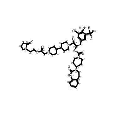 Nc1c(Cl)cc(C[C@@H](OC(=O)N2CCC(N3CCc4ccccc4NC3=O)CC2)C(=O)N2CCC(C3CCN(CC(=O)OCCN4CCCC4=O)CC3)CC2)cc1C(F)(F)F